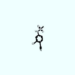 CS(=O)(=O)Nc1ccc(C#N)c(Cl)c1